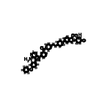 Nc1ncnc2c1c(-c1ccc(Oc3ccccc3)cc1)nn2[C@@H]1CCCN(C(=O)N2CCC(CCC3CCN(c4ccc5c(c4)CN(C4CCC(=O)NC4=O)C5=O)CC3)CC2)C1